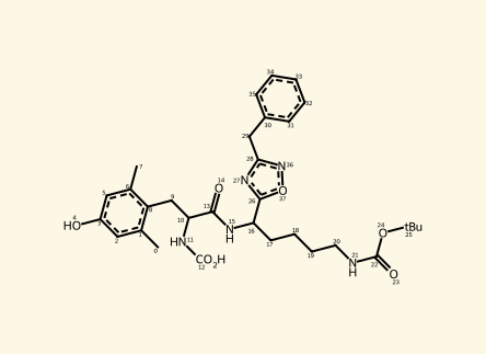 Cc1cc(O)cc(C)c1CC(NC(=O)O)C(=O)NC(CCCCNC(=O)OC(C)(C)C)c1nc(Cc2ccccc2)no1